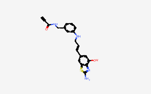 C#CC(=O)NCc1cccc(NC/C=C/c2cc(O)c3nc(N)sc3c2)c1